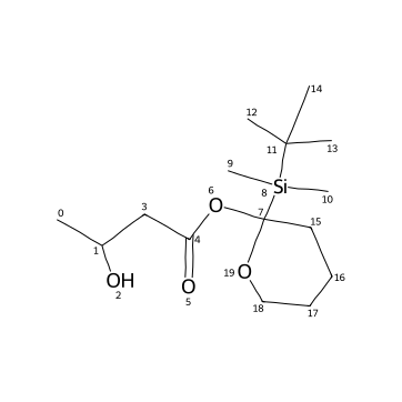 CC(O)CC(=O)OC1([Si](C)(C)C(C)(C)C)CCCCO1